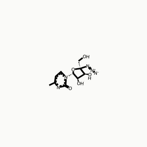 Cc1ccn([C@@H]2O[C@@](CO)(N=[N+]=[N-])[C@@H](O)[C@H]2O)c(=O)n1